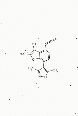 Cc1noc(C)c1-c1ccc(N=C=O)c2c(C)c(C)oc12